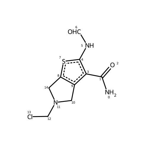 NC(=O)c1c(NC=O)sc2c1CN(CCl)C2